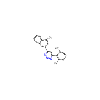 CC(C)c1cccc(C(C)C)c1-c1cc(-c2cc(C(C)(C)C)c3ccccc3c2)nnn1